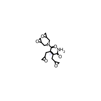 NC(=O)/C(CC1CO1)=C(/CC1CO1)C(=O)N(CC1CO1)CC1CO1